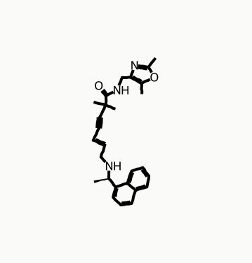 Cc1nc(CNC(=O)C(C)(C)C#C/C=C/CN[C@H](C)c2cccc3ccccc23)c(C)o1